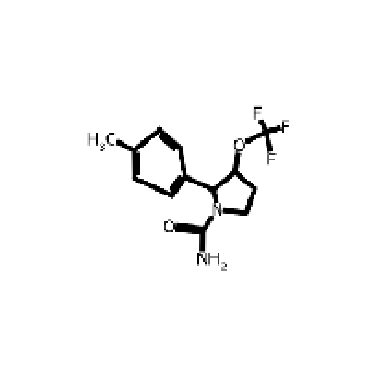 Cc1ccc(C2C(OC(F)(F)F)CCN2C(N)=O)cc1